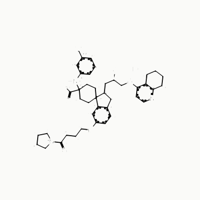 C[C@@H](COc1ccnc2c1[C@H](C)CCC2)CC1Cc2ccc(OCCCC(=O)N3CCCC3)cc2C12CCC(Nc1cccc(Cl)c1)(C(=O)O)CC2